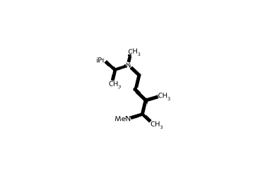 CNC(C)C(C)CCN(C)C(C)C(C)C